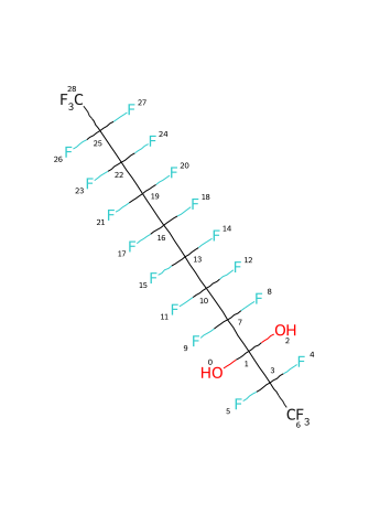 OC(O)(C(F)(F)C(F)(F)F)C(F)(F)C(F)(F)C(F)(F)C(F)(F)C(F)(F)C(F)(F)C(F)(F)C(F)(F)F